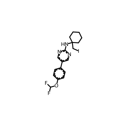 FC(F)Oc1ccc(-c2cnc(NC3(CI)CCCCC3)nc2)cc1